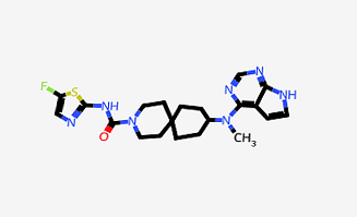 CN(c1ncnc2[nH]ccc12)C1CCC2(CC1)CCN(C(=O)Nc1ncc(F)s1)CC2